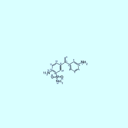 C=C(c1cccc(N)c1)c1ccc(N)c(S(N)(=O)=O)c1